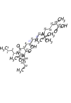 CCCCN1C(=O)C(=C/C(O)=C/C=C/N(CCC=C(C)C(=O)O)C(C)(C)C)C(=O)N(CCCC)C1(C)C